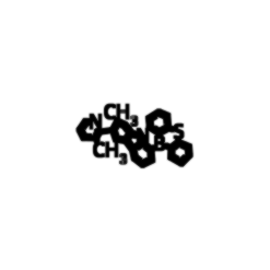 Cc1cc2c(cc1-c1ncccc1C)c1cccc3c1n2-c1cccc2c1B3c1ccccc1S2